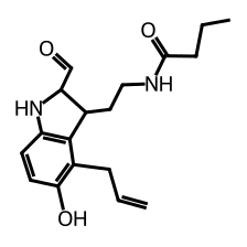 C=CCc1c(O)ccc2c1C(CCNC(=O)CCC)C(C=O)N2